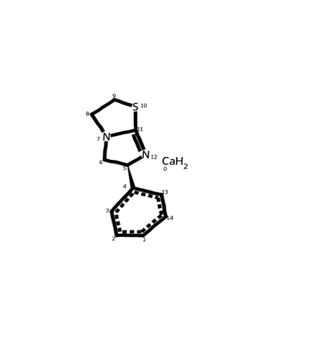 [CaH2].c1ccc([C@H]2CN3CCSC3=N2)cc1